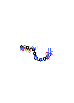 O=C1CCC(N2Cc3cc(N4CCC(CN5CCCN(c6ccc(-c7cnc8[nH]cc(C(=O)c9c(F)ccc(NS(=O)(=O)N%10CC[C@@H](F)C%10)c9F)c8c7)cc6)CC5)CC4)ccc3C2=O)C(=O)N1